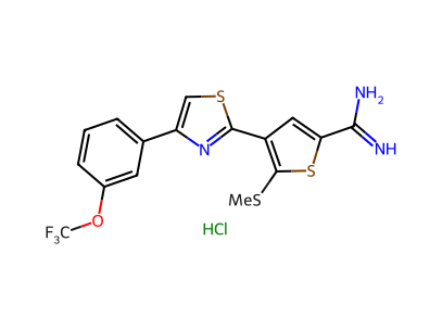 CSc1sc(C(=N)N)cc1-c1nc(-c2cccc(OC(F)(F)F)c2)cs1.Cl